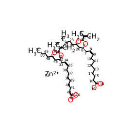 C=C(C)C(=O)O[C@@H](C/C=C\CCCCCCCC(=O)[O-])CCCCCC.C=C(C)C(=O)O[C@@H](C/C=C\CCCCCCCC(=O)[O-])CCCCCC.[Zn+2]